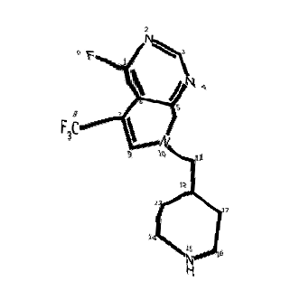 Fc1ncnc2c1c(C(F)(F)F)cn2CC1CCNCC1